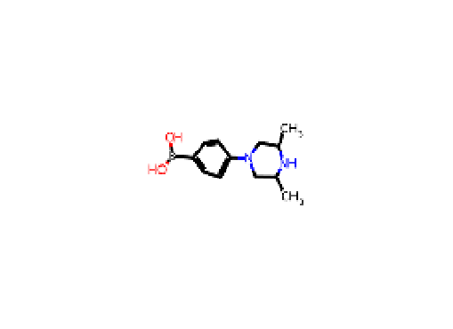 CC1CN(c2ccc(B(O)O)cc2)CC(C)N1